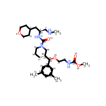 CNC[C@H](CC1CCOCC1)NC(=O)N1CCC[C@@H]([C@@H](OCCNC(=O)OC)c2cc(C)cc(C)c2)C1